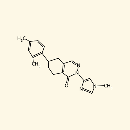 Cc1ccc(C2CCc3c(cnn(-c4cn(C)cn4)c3=O)C2)c(C)c1